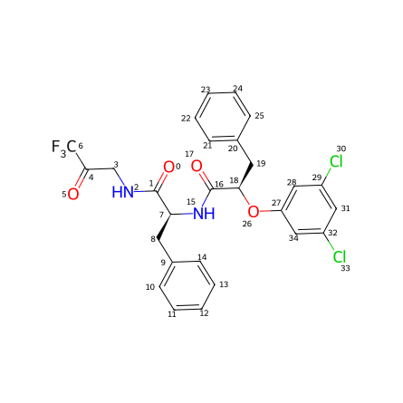 O=C(NCC(=O)C(F)(F)F)[C@H](Cc1ccccc1)NC(=O)[C@@H](Cc1ccccc1)Oc1cc(Cl)cc(Cl)c1